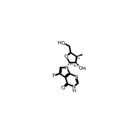 C[C@@H]1C(CO)O[C@@H](n2cc(F)c3c(=O)[nH]cnc32)[C@@H]1O